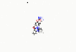 CN(C)c1ccccc1C(=O)Nc1ccc(OC(N)=O)cc1